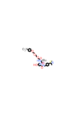 Cc1ncsc1-c1ccc(CNC(=O)[C@@H]2C[C@@H](O)CN2C(=O)C(NC(=O)COCCOCCOc2ccc([N+](=O)[O-])cc2)C(C)(C)C)cc1